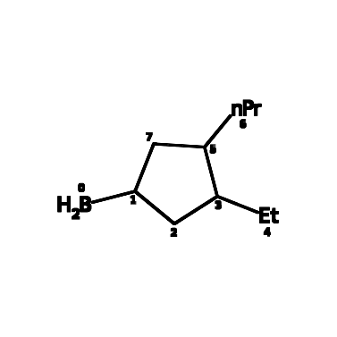 BC1CC(CC)C(CCC)C1